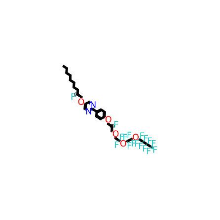 CCCCCCCC[C@@H](F)COc1cnc(-c2ccc(OC[C@H](F)COCC(F)(F)OC(F)(F)C(F)(F)OC(F)(F)C(F)(F)C(F)(F)C(F)(F)F)cc2)nc1